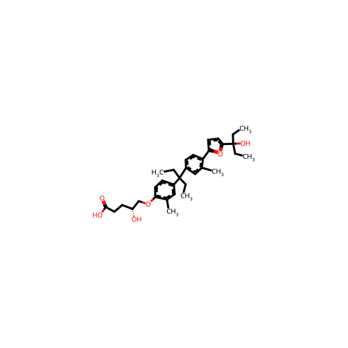 CCC(O)(CC)c1ccc(-c2ccc(C(CC)(CC)c3ccc(OC[C@H](O)CCC(=O)O)c(C)c3)cc2C)o1